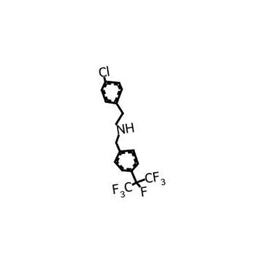 FC(F)(F)C(F)(c1ccc(CNCCc2ccc(Cl)cc2)cc1)C(F)(F)F